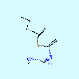 C=C(CCC)SC(=C)/N=C\NC